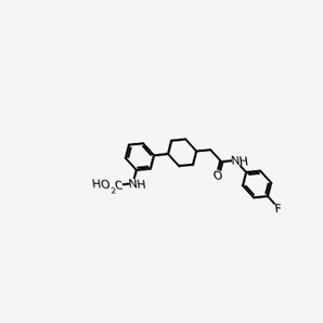 O=C(O)Nc1cccc(C2CCC(CC(=O)Nc3ccc(F)cc3)CC2)c1